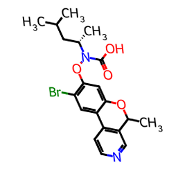 CC(C)C[C@H](C)N(Oc1cc2c(cc1Br)-c1ccncc1C(C)O2)C(=O)O